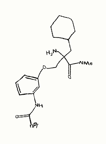 CCCC(=O)Nc1cccc(OCC(N)(CC2CCCCC2)C(=O)NC)c1